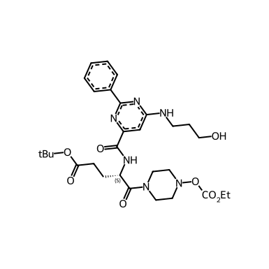 CCOC(=O)ON1CCN(C(=O)[C@H](CCC(=O)OC(C)(C)C)NC(=O)c2cc(NCCCO)nc(-c3ccccc3)n2)CC1